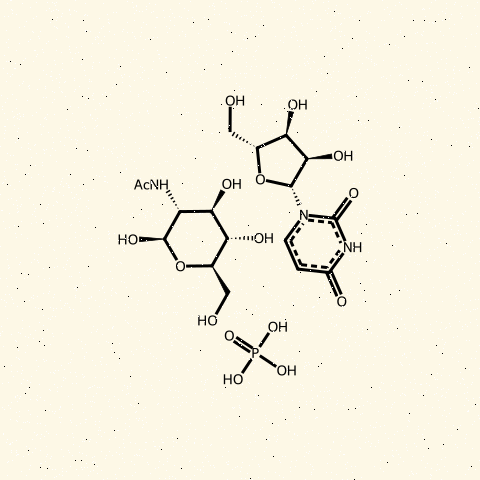 CC(=O)N[C@@H]1[C@@H](O)[C@H](O)[C@@H](CO)O[C@H]1O.O=P(O)(O)O.O=c1ccn([C@@H]2O[C@H](CO)[C@@H](O)[C@H]2O)c(=O)[nH]1